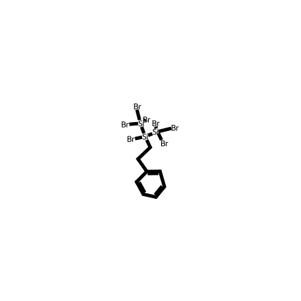 Br[Si](Br)(Br)[Si](Br)(CCc1ccccc1)[Si](Br)(Br)Br